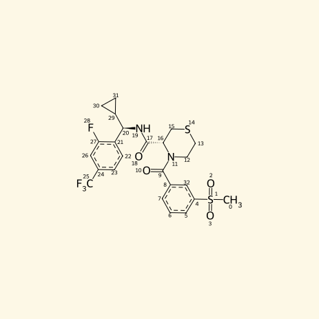 CS(=O)(=O)c1cccc(C(=O)N2CCSC[C@H]2C(=O)N[C@@H](c2ccc(C(F)(F)F)cc2F)C2CC2)c1